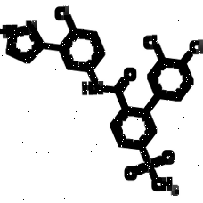 CS(=O)(=O)c1ccc(C(=O)Nc2ccc(Cl)c(-c3cc[nH]n3)c2)c(-c2ccc(Cl)c(Cl)c2)c1